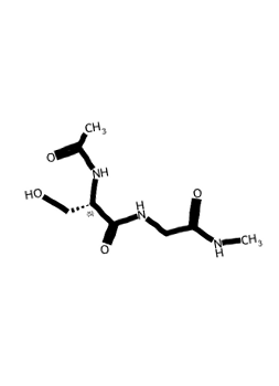 CNC(=O)CNC(=O)[C@H](CO)NC(C)=O